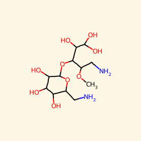 COC(CN)C(OC1OC(CN)C(O)C(O)C1O)C(O)C(O)O